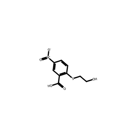 O=C(O)c1cc([N+](=O)[O-])ccc1SCCO